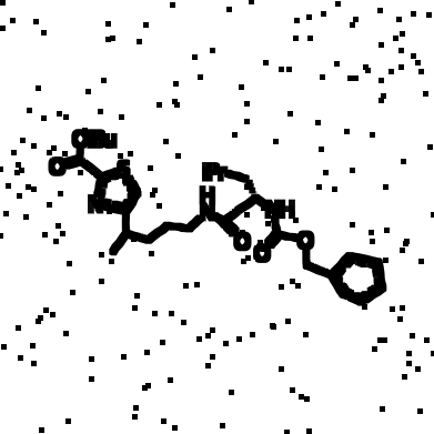 CC(C)COC(=O)c1nc(C(C)CCCNC(=O)[C@H](CC(C)C)NC(=O)OCc2ccccc2)cs1